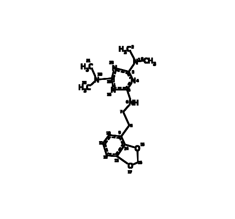 CN(C)c1nc(NCCc2cccc3c2OCO3)nc(N(C)C)n1